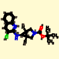 CC(C)(C)OC(=O)N1C[C@@H]2[C@H](C1)[C@H]2Nc1nc2ccccc2cc1Cl